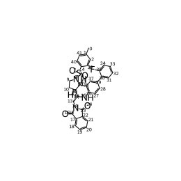 Cc1ccc(S(=O)(=O)N2CC[C@@H]3[C@H](CN4C(=O)c5ccccc5C4=O)Nc4ccc(-c5ccccc5F)cc4[C@@H]32)cc1